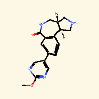 COc1ncc(-c2ccc3c(c2)C(=O)NC[C@@H]2CNC[C@@H]32)cn1